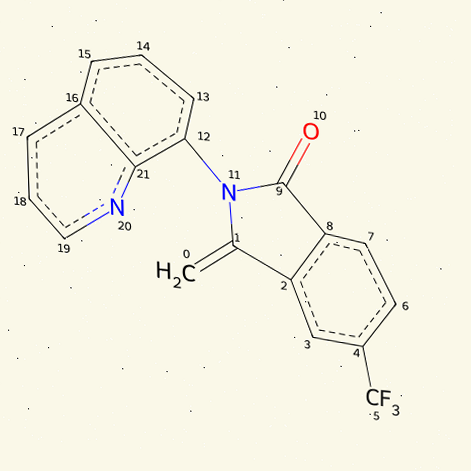 C=C1c2cc(C(F)(F)F)ccc2C(=O)N1c1cccc2cccnc12